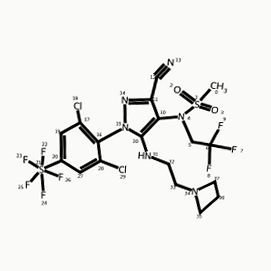 CS(=O)(=O)N(CC(F)(F)F)c1c(C#N)nn(-c2c(Cl)cc(S(F)(F)(F)(F)F)cc2Cl)c1NCCN1CCC1